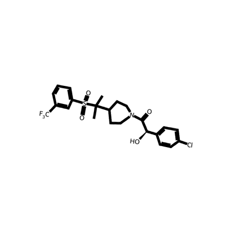 CC(C)(C1CCN(C(=O)[C@H](O)c2ccc(Cl)cc2)CC1)S(=O)(=O)c1cccc(C(F)(F)F)c1